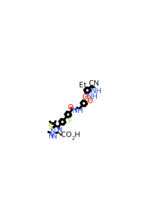 CCc1ccc(NS(=O)(=O)c2ccc(CCNC(=O)c3ccc(-c4ccc(C5=N[C@@H](CC(=O)O)c6nnc(C)n6-c6sc(C)c(C)c65)cc4)c(F)c3)cc2)c2[nH]cc(C#N)c12